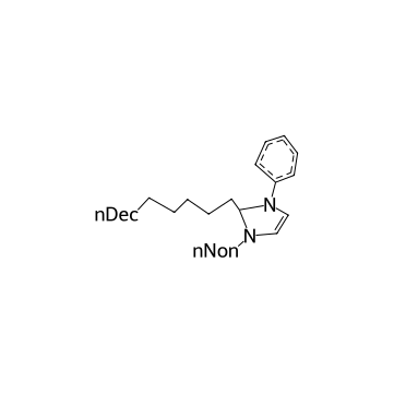 CCCCCCCCCCCCCCCC1N(CCCCCCCCC)C=CN1c1ccccc1